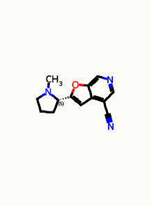 CN1CCC[C@H]1c1cc2c(C#N)cncc2o1